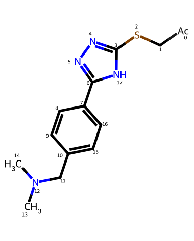 CC(=O)CSc1nnc(-c2ccc(CN(C)C)cc2)[nH]1